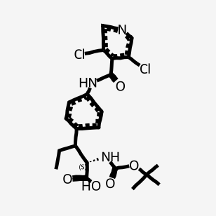 CCC(c1ccc(NC(=O)c2c(Cl)cncc2Cl)cc1)[C@H](NC(=O)OC(C)(C)C)C(=O)O